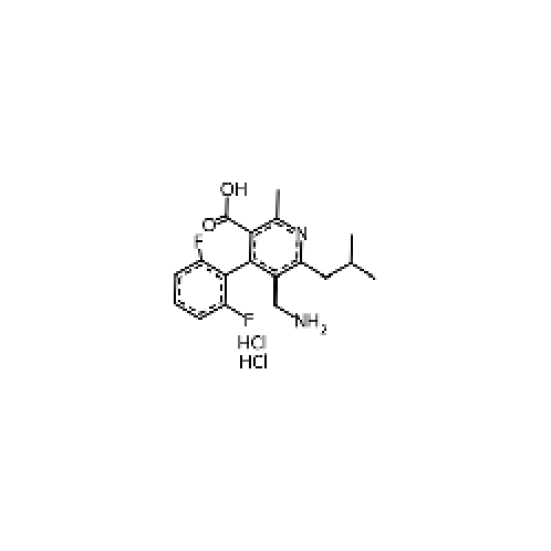 Cc1nc(CC(C)C)c(CN)c(-c2c(F)cccc2F)c1C(=O)O.Cl.Cl